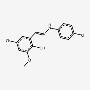 COc1cc(Cl)cc(/C=N/Nc2ccc(Cl)cc2)c1O